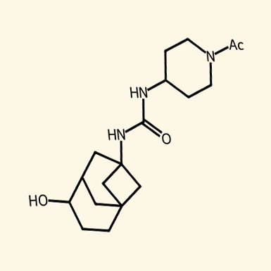 CC(=O)N1CCC(NC(=O)NC23CC4CC(CCC4O)(C2)C3)CC1